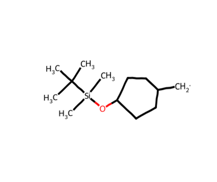 [CH2]C1CCC(O[Si](C)(C)C(C)(C)C)CC1